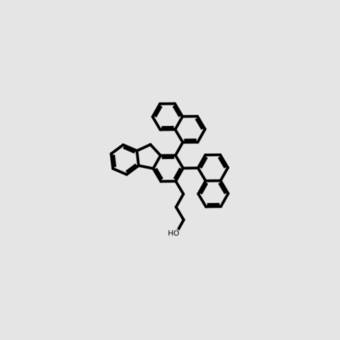 OCCCc1cc2c(c(-c3cccc4ccccc34)c1-c1cccc3ccccc13)Cc1ccccc1-2